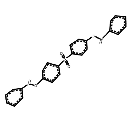 O=S(=O)(c1ccc(ONc2ccccc2)cc1)c1ccc(ONc2ccccc2)cc1